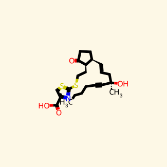 CCCCC#C[C@](C)(O)C/C=C/[C@@H]1CCC(=O)[C@@H]1CCSc1nc(C(=O)O)cs1